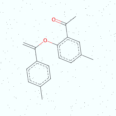 C=C(Oc1ccc(C)cc1C(C)=O)c1ccc(C)cc1